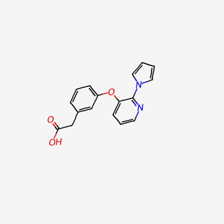 O=C(O)Cc1cccc(Oc2cccnc2-n2cccc2)c1